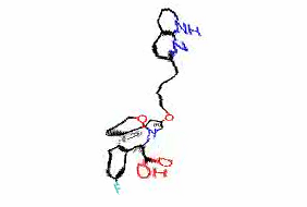 O=C(O)[C@@H](c1cc(F)ccc1[C@@H]1CCOC1)N1CC[C@@H](OCCCCc2ccc3c(n2)NCCC3)C1